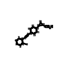 Cc1ccccc1C#Cc1ccc(C2CC2C(=O)O)cc1